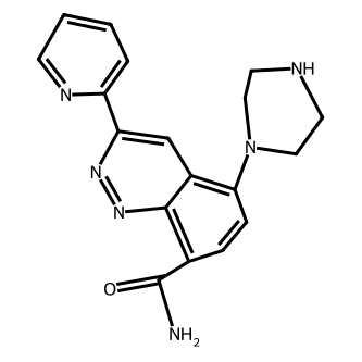 NC(=O)c1ccc(N2CCNCC2)c2cc(-c3ccccn3)nnc12